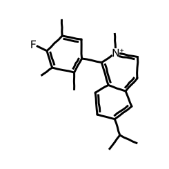 Cc1cc(-c2c3ccc(C(C)C)cc3cc[n+]2C)c(C)c(C)c1F